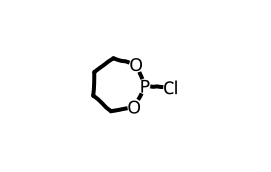 ClP1OCCCCO1